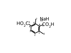 Cc1ccc(C(=O)O)c(C)c1C(=O)O.[NaH]